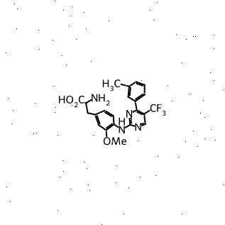 COc1cc(C[C@H](N)C(=O)O)ccc1Nc1ncc(C(F)(F)F)c(-c2cccc(C)c2)n1